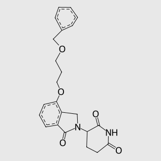 O=C1CCC(N2Cc3c(OCCCOCc4ccccc4)cccc3C2=O)C(=O)N1